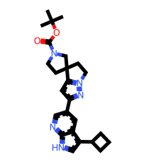 CC(C)(C)OC(=O)N1CCC2(CCn3nc(-c4cnc5[nH]cc(C6CCC6)c5c4)cc32)C1